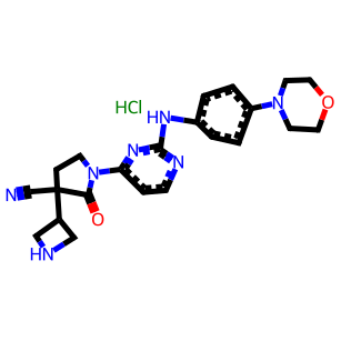 Cl.N#CC1(C2CNC2)CCN(c2ccnc(Nc3ccc(N4CCOCC4)cc3)n2)C1=O